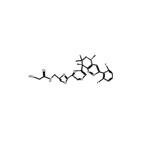 C[C@@H]1CC(C)(C)[C@@](C)(c2cncc(-c3nc(CNC(=O)CO)co3)n2)c2nnc(-c3c(F)cccc3F)cc21